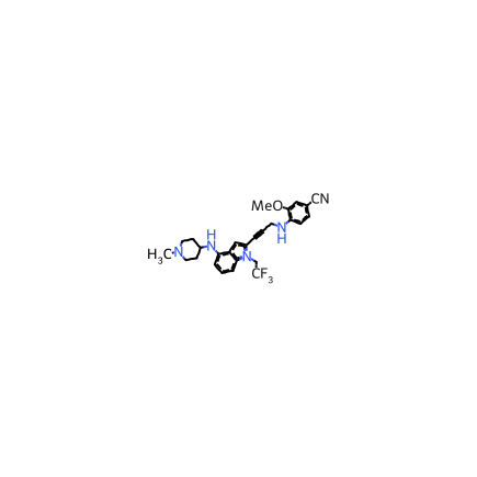 COc1cc(C#N)ccc1NCC#Cc1cc2c(NC3CCN(C)CC3)cccc2n1CC(F)(F)F